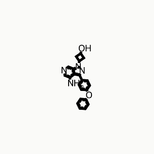 Nc1cncc2c1c(-c1ccc(Oc3ccccc3)cc1)nn2C1CC(O)C1